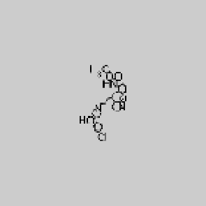 CCOC(=O)Nc1cccc2c1C/C(=C/CCN1CCC(O)(c3ccc(Cl)cc3)CC1)c1cccnc1O2